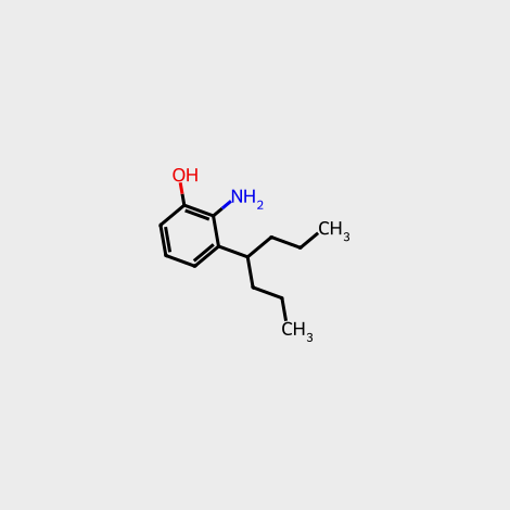 CCCC(CCC)c1cccc(O)c1N